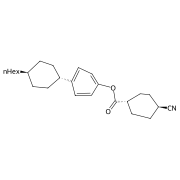 CCCCCC[C@H]1CC[C@H](c2ccc(OC(=O)[C@H]3CC[C@H](C#N)CC3)cc2)CC1